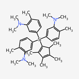 CC1=C(C)C(C)C([Si](c2ccc(C)c(N(C)C)c2)(c2ccc(C)c(N(C)C)c2)c2ccc(C)c(N(C)C)c2)=C1C